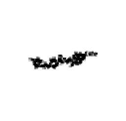 COc1cc(C)c(S(=O)(=O)N(C)CCOCC(=O)N2CCN(CCCN3CCN(C)CC3)CC2)c(C)c1